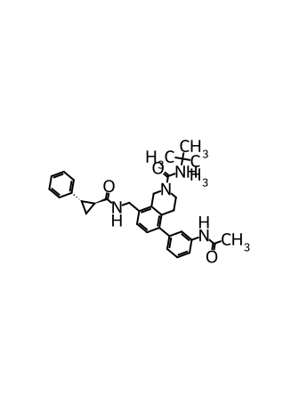 CC(=O)Nc1cccc(-c2ccc(CNC(=O)[C@H]3C[C@@H]3c3ccccc3)c3c2CCN(C(=O)NC(C)(C)C)C3)c1